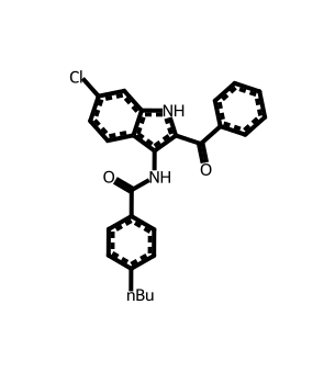 CCCCc1ccc(C(=O)Nc2c(C(=O)c3ccccc3)[nH]c3cc(Cl)ccc23)cc1